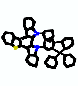 c1ccc(-n2c3ccccc3c3c4c5ccccc5sc4c4c5ccccc5n(-c5ccc6c(c5)C(c5ccccc5)(c5ccccc5)c5ccccc5-6)c4c32)cc1